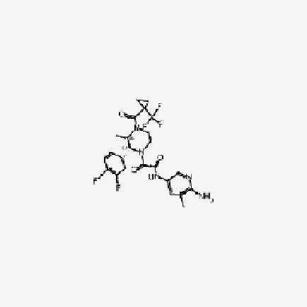 Cc1cc(NC(=O)C(=O)N2CCN(C(=O)C3(C(F)(F)F)CC3)[C@H](C)[C@H]2c2ccc(F)c(F)c2)cnc1N